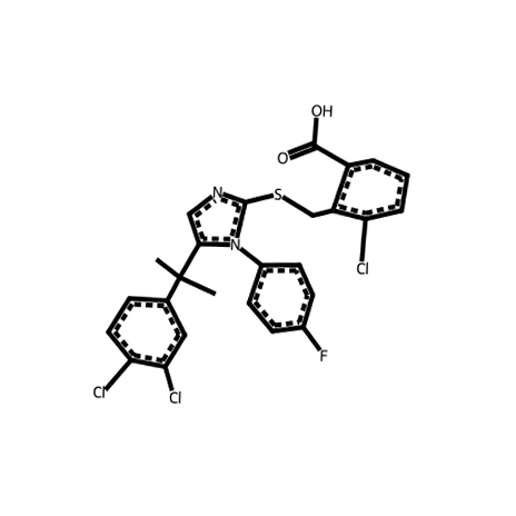 CC(C)(c1ccc(Cl)c(Cl)c1)c1cnc(SCc2c(Cl)cccc2C(=O)O)n1-c1ccc(F)cc1